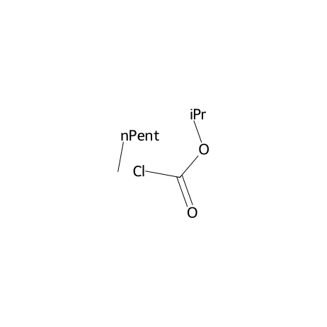 CC(C)OC(=O)Cl.CCCCCC